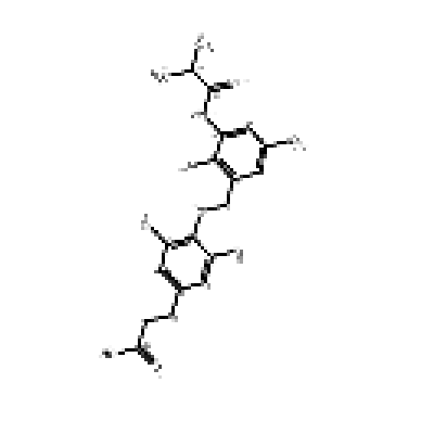 Cc1cc(COc2c(Br)cc(CCC(=O)O)cc2Br)c(F)c(NC(=O)C(C)C)c1